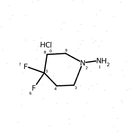 Cl.NN1CCC(F)(F)CC1